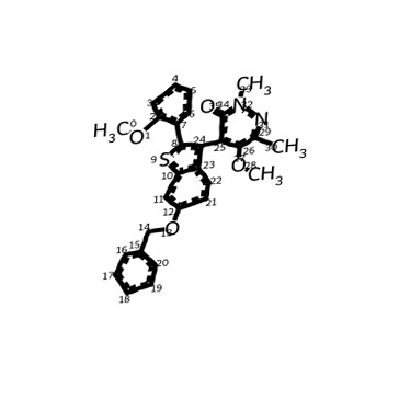 COc1ccccc1-c1sc2cc(OCc3ccccc3)ccc2c1-c1c(OC)c(C)nn(C)c1=O